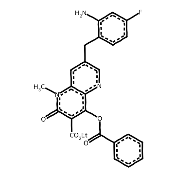 CCOC(=O)c1c(OC(=O)c2ccccc2)c2ncc(Cc3ccc(F)cc3N)cc2n(C)c1=O